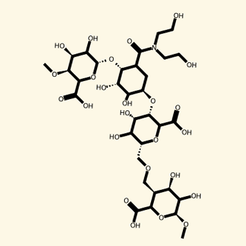 CO[C@H]1OC(C(=O)O)[C@@H](COC[C@H]2OC(C(=O)O)[C@@H](O[C@@H]3CC(C(=O)N(CCO)CCO)[C@@H](O[C@@H]4OC(C(=O)O)[C@@H](OC)[C@@H](O)C4O)[C@@H](O)C3O)[C@@H](O)C2O)[C@@H](O)C1O